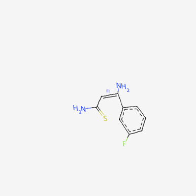 NC(=S)/C=C(/N)c1cccc(F)c1